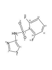 O=S(=O)(Nc1cscn1)c1c(F)cccc1F